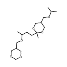 CC(C)OCC1COC(C)(CCC(C)OCC2COCOC2)OC1